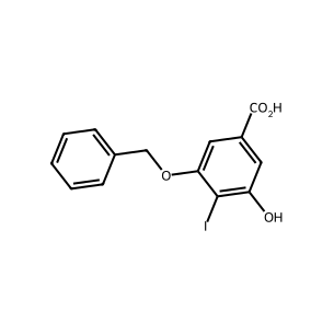 O=C(O)c1cc(O)c(I)c(OCc2ccccc2)c1